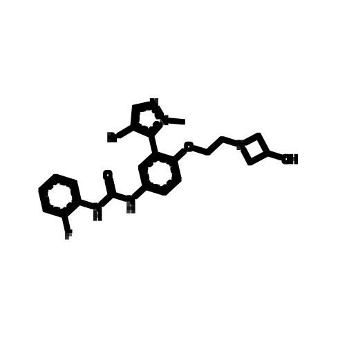 Cn1ncc(Br)c1-c1cc(NC(=O)Nc2ccccc2F)ccc1OCCN1CC(O)C1